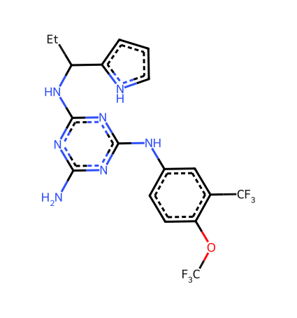 CCC(Nc1nc(N)nc(Nc2ccc(OC(F)(F)F)c(C(F)(F)F)c2)n1)c1ccc[nH]1